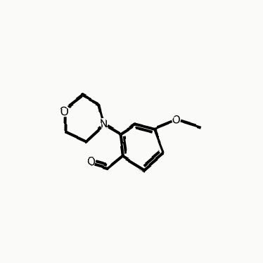 COc1ccc(C=O)c(N2CCOCC2)c1